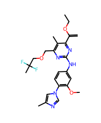 C=C(OCC)c1nc(Nc2ccc(-n3cnc(C)c3)c(OC)c2)nc(COCC(C)(F)F)c1C